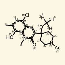 [2H]C([2H])([2H])OC1(c2cc3c(Cl)nc(C)c(O)c3n(C)c2=O)CCN(C(C)=O)CC1